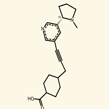 CN1CCC[C@H]1c1cncc(C#CCC2CCC(C(=O)O)CC2)c1